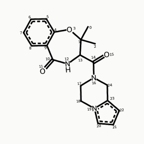 CC1(C)Oc2ccccc2C(=O)NC1C(=O)N1CCn2cccc2C1